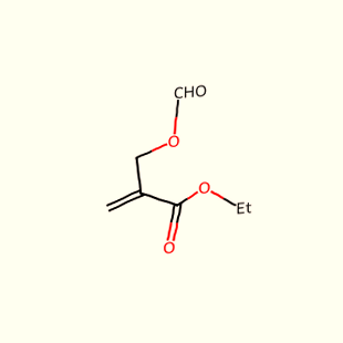 C=C(COC=O)C(=O)OCC